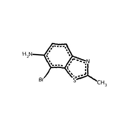 Cc1nc2ccc(N)c(Br)c2s1